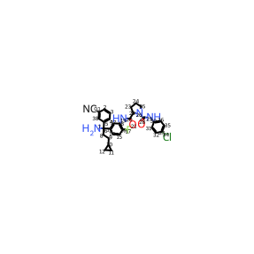 N#Cc1cccc(C(N)(CCC2CC2)c2ccc(F)c(NC(=O)C3CCCN3C(=O)Nc3ccc(Cl)cc3)c2)c1